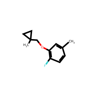 Cc1ccc(F)c(OCC2(C)CC2)c1